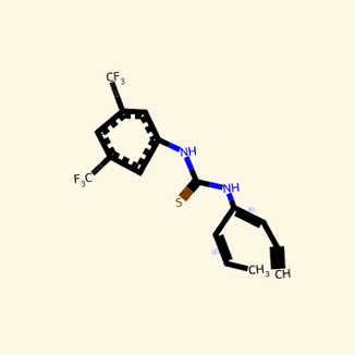 C#C/C=C(\C=C/C)NC(=S)Nc1cc(C(F)(F)F)cc(C(F)(F)F)c1